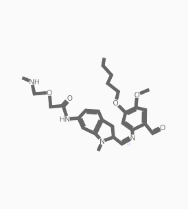 CCCCCOc1cc(/N=C\C2Cc3ccc(NC(=O)COCNC)cc3N2C)c(C=O)cc1OC